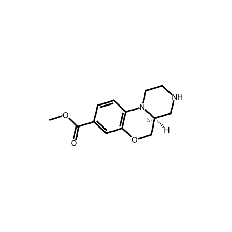 COC(=O)c1ccc2c(c1)OC[C@@H]1CNCCN21